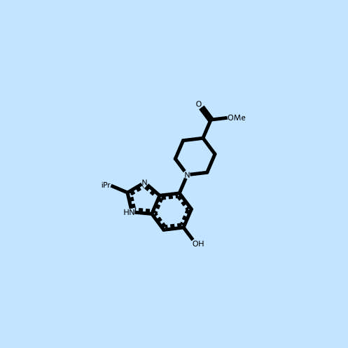 COC(=O)C1CCN(c2cc(O)cc3[nH]c(C(C)C)nc23)CC1